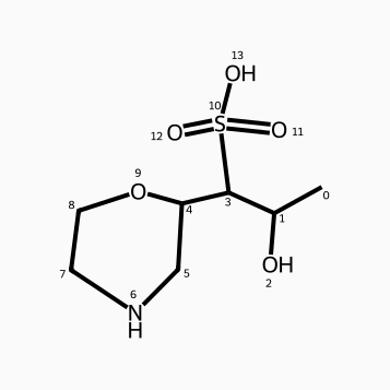 CC(O)C(C1CNCCO1)S(=O)(=O)O